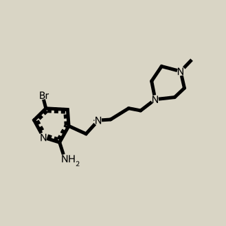 CN1CCN(CCC[N]Cc2cc(Br)cnc2N)CC1